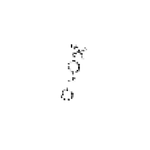 O=S(=O)(Oc1ccc(OCc2ccccc2)nn1)C(F)(F)F